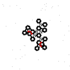 c1ccc(-c2ccccc2N(c2cc3c4c(c2)-n2c5ccccc5c5c(N(c6ccccc6)c6ccccc6)ccc(c52)B4c2cc4c5cccc6c7ccccc7n(c4cc2N3c2ccccc2-c2ccccc2)c65)c2ccc3c4ccccc4n(-c4ccccc4)c3c2)cc1